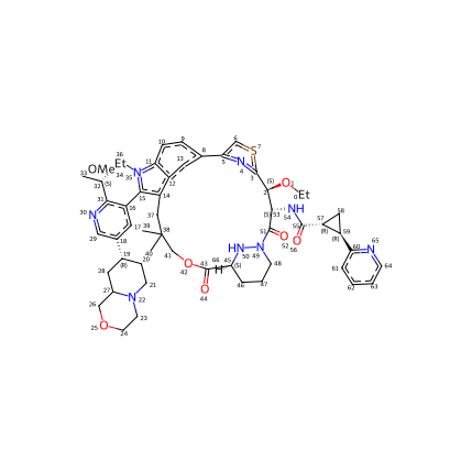 CCO[C@@H]1c2nc(cs2)-c2ccc3c(c2)c(c(-c2cc([C@@H]4CCN5CCOCC5C4)cnc2[C@H](C)OC)n3CC)CC(C)(C)COC(=O)[C@@H]2CCCN(N2)C(=O)[C@H]1NC(=O)[C@@H]1C[C@H]1c1ccccn1